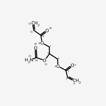 C=CC(=O)OCC(COC(=O)C=C)OC(N)=O